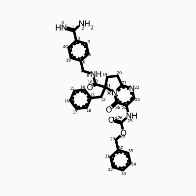 N=C(N)c1ccc(CNC(=O)C2(Cc3ccccc3)CCc3ncc(NC(=O)OCc4ccccc4)c(=O)n32)cc1